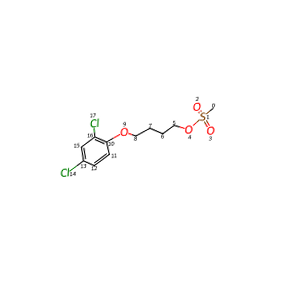 CS(=O)(=O)OCCCCOc1ccc(Cl)cc1Cl